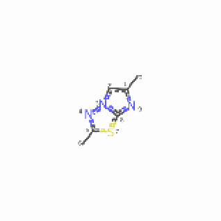 Cc1cn2nc(C)sc2n1